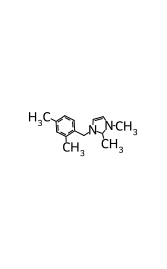 Cc1ccc(CN2C=CN(C)C2C)c(C)c1